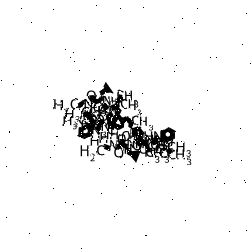 C=CCNC(=O)C(=O)[C@H](CC1CC1)NC(=O)[C@@H]1[C@@H](CC(C)CC2CCC(C)([C@H](NC(=O)NC3(CS(=O)(=O)C(C)(C)C)CCCCC3)C(=O)N3CC[C@H](CC(C)C)[C@H]3C(=O)N[C@@H](CC3CC3)C(=O)C(=O)NCC=C)CC2)CCN1C(=O)[C@@H](NC(=O)NC1(CS(=O)(=O)C(C)(C)C)CCCCC1)C(C)(C)C